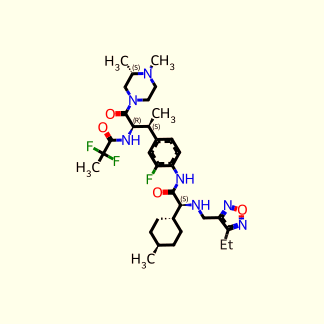 CCc1nonc1CN[C@H](C(=O)Nc1ccc([C@H](C)[C@@H](NC(=O)C(C)(F)F)C(=O)N2CCN(C)[C@@H](C)C2)cc1F)[C@H]1CC[C@H](C)CC1